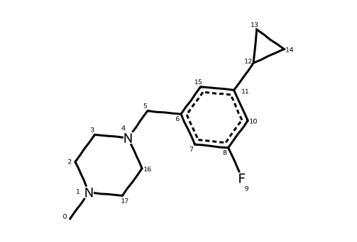 CN1CCN(Cc2cc(F)cc(C3CC3)c2)CC1